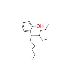 CCCCCC(c1ccccc1O)C(CC)CCC